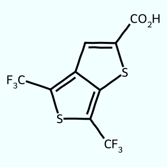 O=C(O)c1cc2c(C(F)(F)F)sc(C(F)(F)F)c2s1